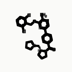 Nc1ncc(-c2ccc(C(=O)N3CCC[C@@H]3CN3CCCC3)cc2)nc1OCc1c(Cl)cccc1Cl